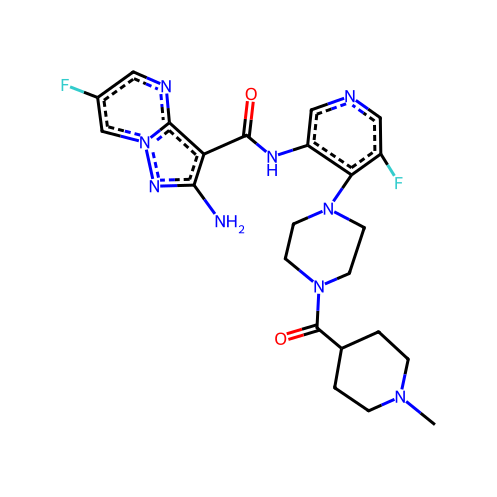 CN1CCC(C(=O)N2CCN(c3c(F)cncc3NC(=O)c3c(N)nn4cc(F)cnc34)CC2)CC1